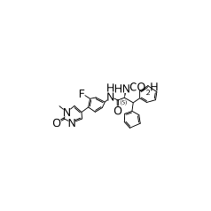 Cn1cc(-c2ccc(NC(=O)[C@@H](NC(=O)O)C(c3ccccc3)c3ccccc3)cc2F)cnc1=O